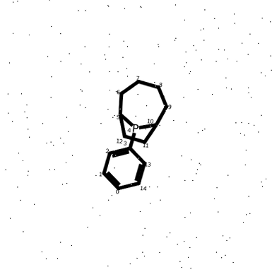 c1ccc(P2C3CCCCC2CC3)cc1